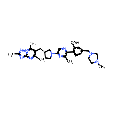 COc1cc(CN2CCN(C)CC2)ccc1-c1ncc(N2CC[C@@H](Cc3c(C)nc4nc(C)nn4c3C)C2)nc1C